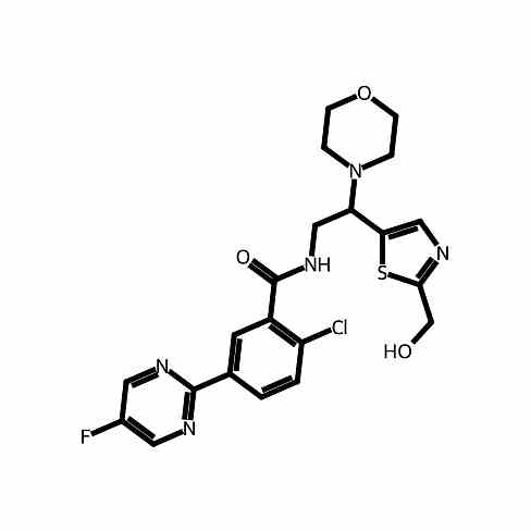 O=C(NCC(c1cnc(CO)s1)N1CCOCC1)c1cc(-c2ncc(F)cn2)ccc1Cl